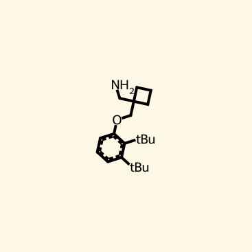 CC(C)(C)c1cccc(OCC2(CN)CCC2)c1C(C)(C)C